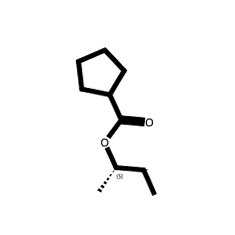 C[CH][C@H](C)OC(=O)C1CCCC1